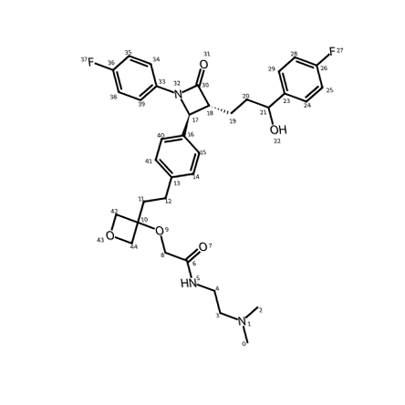 CN(C)CCNC(=O)COC1(CCc2ccc([C@@H]3[C@@H](CCC(O)c4ccc(F)cc4)C(=O)N3c3ccc(F)cc3)cc2)COC1